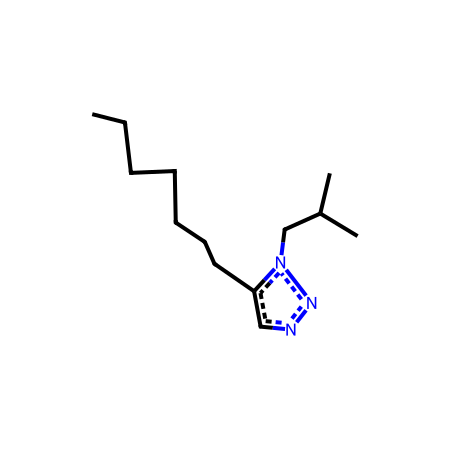 CCCCCCCc1cnnn1CC(C)C